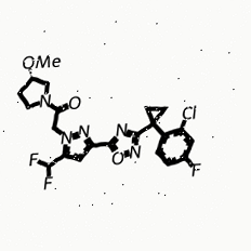 CO[C@H]1CCN(C(=O)Cn2nc(-c3nc(C4(c5ccc(F)cc5Cl)CC4)no3)cc2C(F)F)C1